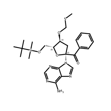 CSCO[C@H]1C[C@](C(=O)c2ccccc2)(n2cnc3c(N)ncnc32)O[C@@H]1CO[Si](C)(C)C(C)(C)C